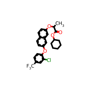 CC(Oc1ccc2ccc(Oc3ccc(C(F)(F)F)cc3Cl)cc2c1)C(=O)OC1CCCCC1